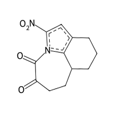 O=C1CCC2CCCc3cc([N+](=O)[O-])n(c32)C1=O